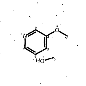 CO.COc1cccnc1